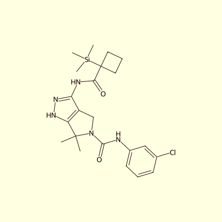 CC1(C)c2[nH]nc(NC(=O)C3([Si](C)(C)C)CCC3)c2CN1C(=O)Nc1cccc(Cl)c1